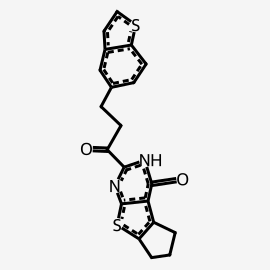 O=C(CCc1ccc2sccc2c1)c1nc2sc3c(c2c(=O)[nH]1)CCC3